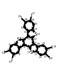 Ic1cc2sc3c(c2cc1I)c1sc2cc(I)c(I)cc2c1c1sc2cc(I)c(I)cc2c31